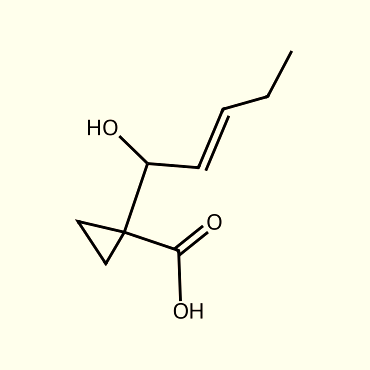 CC/C=C/C(O)C1(C(=O)O)CC1